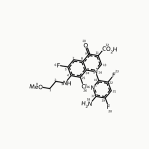 COCCNc1c(F)cc2c(=O)c(C(=O)O)cn(-c3nc(N)c(F)cc3F)c2c1Cl